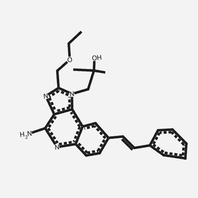 CCOCc1nc2c(N)nc3ccc(C=Cc4ccccc4)cc3c2n1CC(C)(C)O